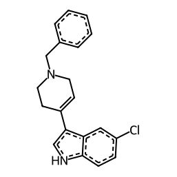 Clc1ccc2[nH]cc(C3=CCN(Cc4ccccc4)CC3)c2c1